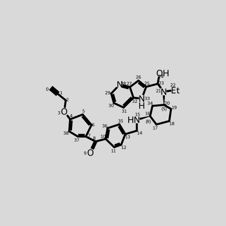 C#CCOc1ccc(C(=O)c2ccc(CN[C@@H]3CCC[C@H](N(CC)C(O)c4cc5ncccc5[nH]4)C3)cc2)cc1